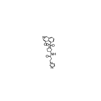 O=C(CCn1ccnc1)NC1CCN(S(=O)(=O)c2cccc3cncc(Cl)c23)C1